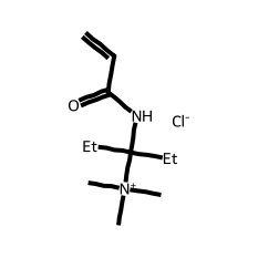 C=CC(=O)NC(CC)(CC)[N+](C)(C)C.[Cl-]